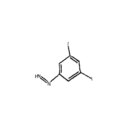 N=Nc1cc(I)cc(I)c1